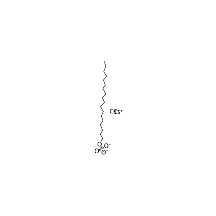 CCCCCCCCCCCCCCCCCCOP(=O)([O-])[O-].[Cs+].[Cs+]